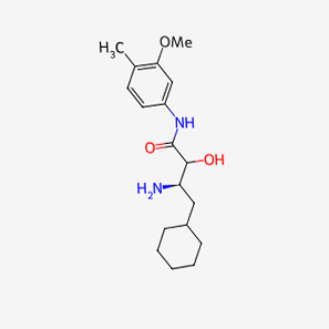 COc1cc(NC(=O)C(O)[C@H](N)CC2CCCCC2)ccc1C